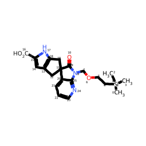 C[Si](C)(C)CCOCN1C(=O)C2(Cc3cc(C(=O)O)[nH]c3C2)c2cccnc21